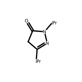 CC(C)C1=NN(C(C)C)C(=O)C1